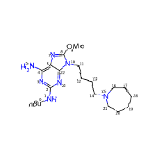 CCCCNc1nc(N)c2nc(OC)n(CCCCN3CCCCCC3)c2n1